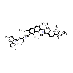 C=CC(=C\C=C(/C=C)S(=O)(=O)C=C)/N=N/c1c(S(=O)(=O)O)cc2cc(S(=O)(=O)O)c(/N=N/C3=CC=C(S(=O)(=O)C=C)[C@@H](C)C3C)c(O)c2c1N